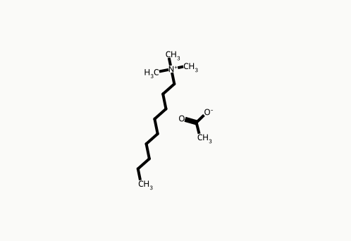 CC(=O)[O-].CCCCCCCCC[N+](C)(C)C